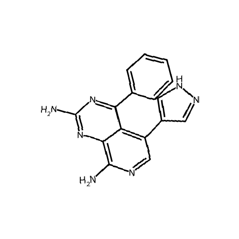 Nc1nc(-c2ccccc2)c2c(-c3cn[nH]c3)cnc(N)c2n1